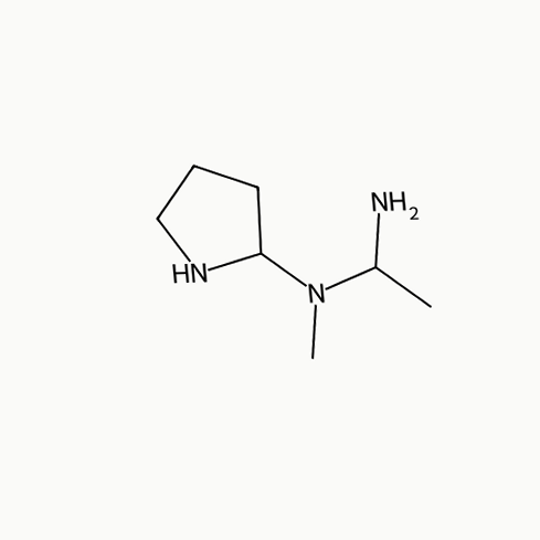 CC(N)N(C)C1CCCN1